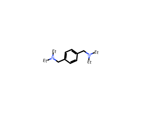 CCN(CC)Cc1ccc(CN(CC)CC)cc1